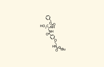 CC(C)(C)OC(=O)NCCOc1ccc(C(=O)NCC(NC(=O)OCc2ccccc2)C(=O)O)cc1